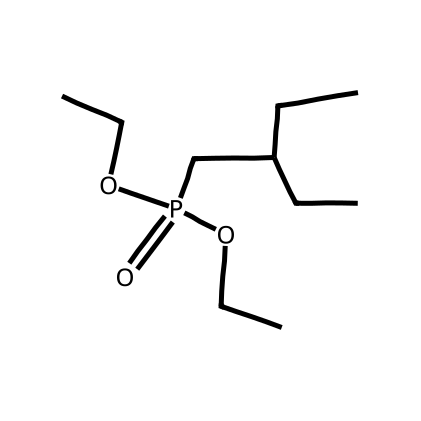 CCOP(=O)(CC(CC)CC)OCC